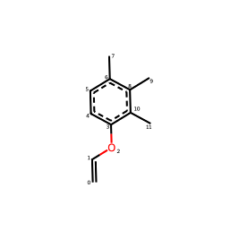 C=COc1ccc(C)c(C)c1C